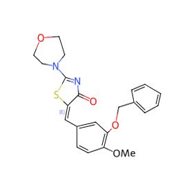 COc1ccc(/C=C2/SC(N3CCOCC3)=NC2=O)cc1OCc1ccccc1